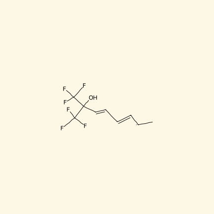 C[CH]C=CC=CC(O)(C(F)(F)F)C(F)(F)F